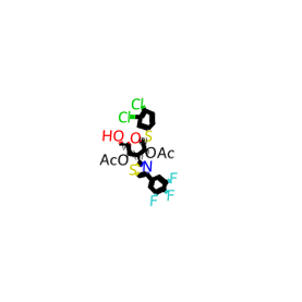 CC(=O)O[C@@H]1[C@@H](c2nc(-c3cc(F)c(F)c(F)c3)cs2)[C@@H](OC(C)=O)[C@@H](CO)O[C@@H]1Sc1ccc(Cl)c(Cl)c1